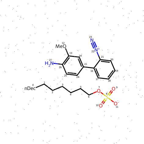 CCCCCCCCCCCCCCCCOS(=O)(=O)[O-].COc1cc(-c2ccccc2[N+]#N)ccc1N